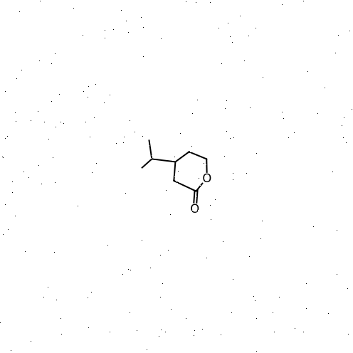 CC(C)C1CCOC(=O)C1